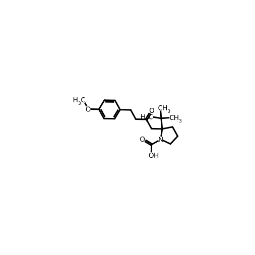 COc1ccc(CCC(=O)CC2(C(C)(C)C)CCCN2C(=O)O)cc1